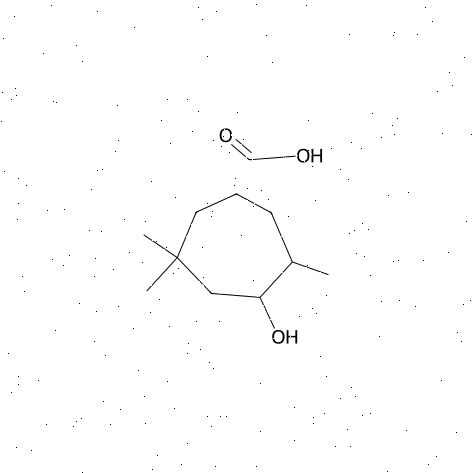 CC1CCCC(C)(C)CC1O.O=CO